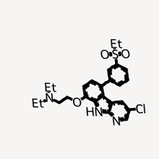 CCN(CC)CCOc1ccc(-c2cccc(S(=O)(=O)CC)c2)c2c1[nH]c1ncc(Cl)cc12